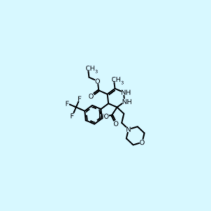 CCOC(=O)C1=C(C)NNC(CCN2CCOCC2)(C(=O)O)C1c1cccc(C(F)(F)F)c1